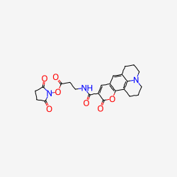 O=C(CCNC(=O)c1cc2cc3c4c(c2oc1=O)CCCN4CCC3)ON1C(=O)CCC1=O